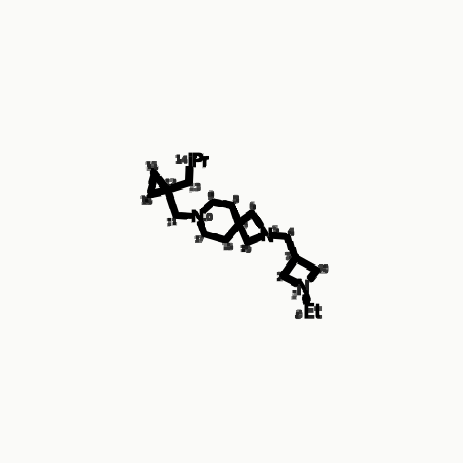 CCN1CC(CN2CC3(CCN(CC4(CC(C)C)CC4)CC3)C2)C1